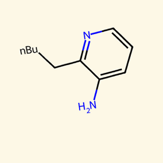 CCCCCc1ncccc1N